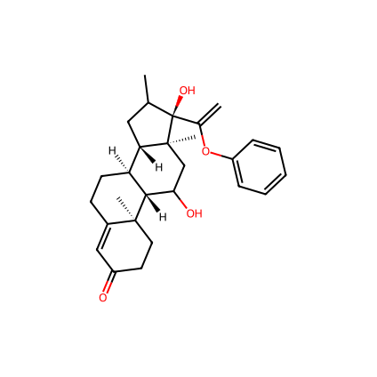 C=C(Oc1ccccc1)[C@@]1(O)C(C)C[C@H]2[C@@H]3CCC4=CC(=O)CC[C@]4(C)[C@H]3C(O)C[C@@]21C